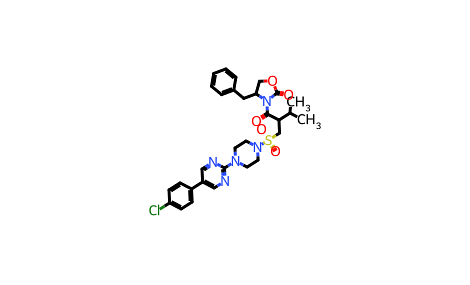 CC(C)C(CS(=O)(=O)N1CCN(c2ncc(-c3ccc(Cl)cc3)cn2)CC1)C(=O)N1C(=O)OCC1Cc1ccccc1